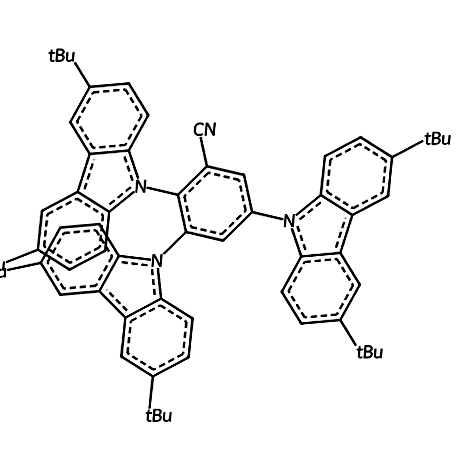 CC(C)(C)c1ccc2c(c1)c1cc(C(C)(C)C)ccc1n2-c1cc(C#N)c(-n2c3ccc(C(C)(C)C)cc3c3cc(C(C)(C)C)ccc32)c(-n2c3ccc(C(C)(C)C)cc3c3cc(C(C)(C)C)ccc32)c1